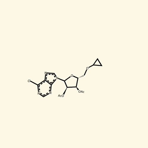 CC(=O)O[C@@H]1[C@@H](COC2CC2)OC(n2cnc3c(Cl)ncnc32)[C@@H]1OC(C)=O